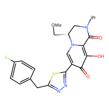 COC[C@@H]1CN(C(C)C)C(=O)c2c(O)c(=O)c(-c3nnc(Cc4ccc(F)cc4)s3)cn21